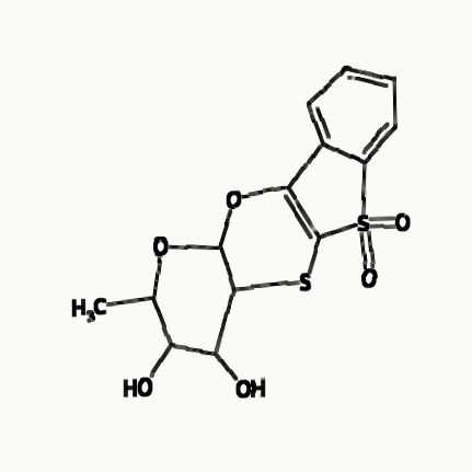 CC1OC2OC3=C(SC2C(O)C1O)S(=O)(=O)c1ccccc13